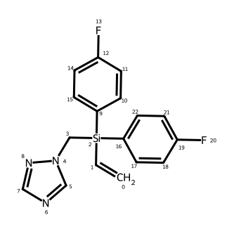 C=C[Si](Cn1cncn1)(c1ccc(F)cc1)c1ccc(F)cc1